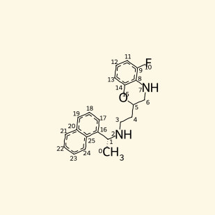 C[C@@H](NCCC1CNc2c(F)cccc2O1)c1cccc2ccccc12